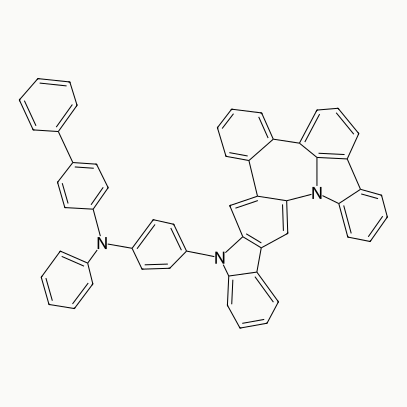 c1ccc(-c2ccc(N(c3ccccc3)c3ccc(-n4c5ccccc5c5cc6c(cc54)-c4ccccc4-c4cccc5c7ccccc7n-6c45)cc3)cc2)cc1